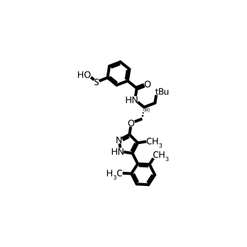 Cc1cccc(C)c1-c1[nH]nc(OC[C@@H](CC(C)(C)C)NC(=O)c2cccc(SO)c2)c1C